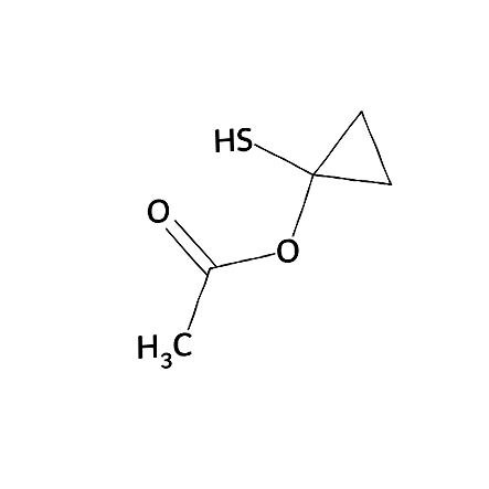 CC(=O)OC1(S)CC1